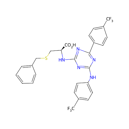 O=C(O)[C@H](CSCc1ccccc1)Nc1nc(Nc2ccc(C(F)(F)F)cc2)nc(-c2ccc(C(F)(F)F)cc2)n1